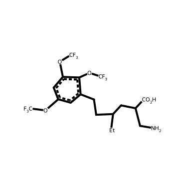 CCC(CCc1cc(OC(F)(F)F)cc(OC(F)(F)F)c1OC(F)(F)F)CC(CN)C(=O)O